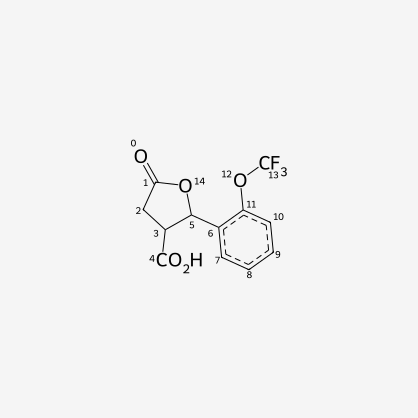 O=C1CC(C(=O)O)C(c2ccccc2OC(F)(F)F)O1